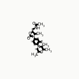 CC(=O)NC[C@@H]1OC(=O)N(c2ccc(N3CC(C)OC(C)C3C)c(F)c2)C1C